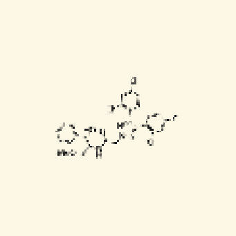 COC[C@H](NC(=O)Cn1nc(-c2ccc(Cl)cc2Cl)c(-c2ccc(Cl)cc2Cl)n1)[C@@H](O)c1ccccc1